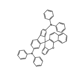 c1ccc(N(c2ccccc2)c2ccc3c(c2)C2(c4ccccc4Oc4c2ccc2ccccc42)c2cc(N(c4ccccc4)c4ccccc4)ccc2-3)cc1